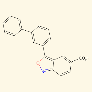 O=C(O)c1ccc2noc(-c3cccc(-c4ccccc4)c3)c2c1